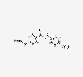 CCCCCOc1ccc(C(=O)C=Cc2ccc(C(=O)O)cc2)cc1